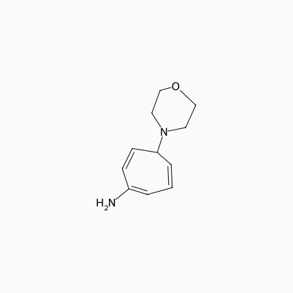 NC1=CC=CC(N2CCOCC2)C=C1